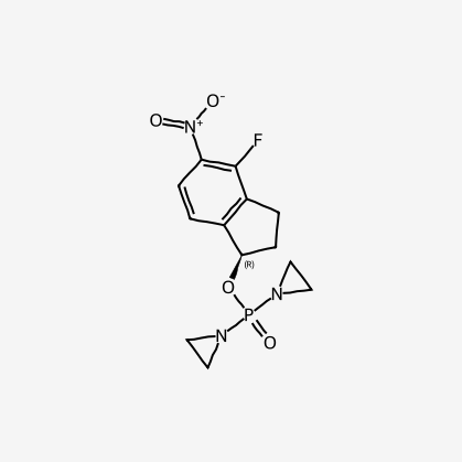 O=[N+]([O-])c1ccc2c(c1F)CC[C@H]2OP(=O)(N1CC1)N1CC1